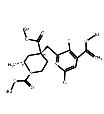 C=C(OCC)c1cc(Cl)nc(C[C@@]2(C(=O)OC(C)(C)C)CCN(C(=O)OC(C)(C)C)[C@H](C)C2)c1F